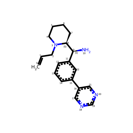 C=CCN1CCCC[C@H]1[C@@H](N)c1cccc(-c2cncnc2)c1